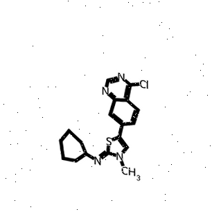 Cn1cc(-c2ccc3c(Cl)ncnc3c2)sc1=NC1CCCCC1